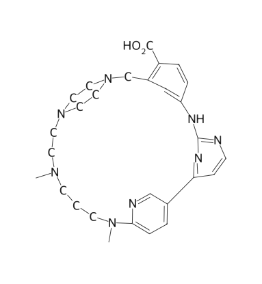 CN1CCCN(C)c2ccc(cn2)-c2ccnc(n2)Nc2ccc(C(=O)O)c(c2)CN2CCN(CC1)CC2